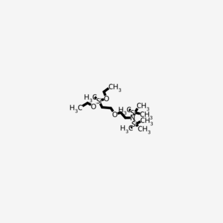 CCO[Si](C)(CCOCCN([Si](C)(C)C)[Si](C)(C)C)OCC